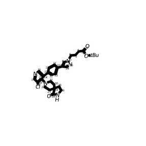 CC(C)(C)OC(=O)CCCn1cc(-c2ccc(-c3cncc(Cl)c3N3CCC4(CCNC4=O)CC3)cc2)cn1